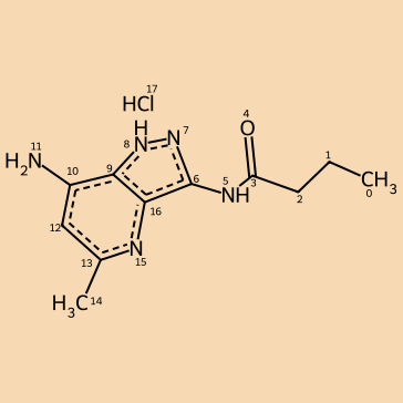 CCCC(=O)Nc1n[nH]c2c(N)cc(C)nc12.Cl